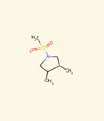 CC1CN(S(C)(=O)=O)CC1C